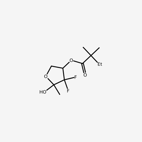 CCC(C)(C)C(=O)OC1COC(C)(O)C1(F)F